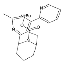 Cc1nc(-c2ccccn2)c2c(n1)C1CCCC(C2)N1C(=O)OC(C)(C)C